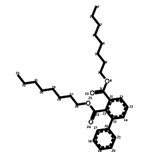 CCCCCCCCOC(=O)c1cccc(-c2ccccc2)c1C(=O)OCCCCCCCC